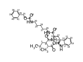 CC(C)CC(CC(=O)O)C(=O)N[C@H](Cc1c[nH]c2ccccc12)C(=O)NCCCCCNC(=O)OCc1ccccc1